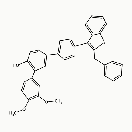 COc1ccc(-c2cc(-c3ccc(-c4c(Cc5ccccc5)sc5ccccc45)cc3)ccc2O)cc1OC